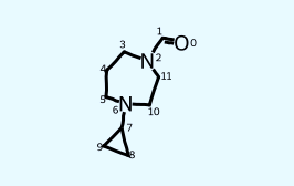 O=CN1CCCN(C2CC2)CC1